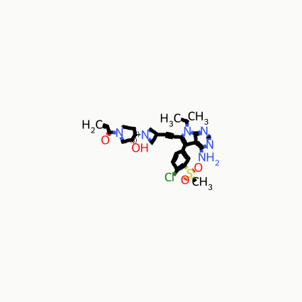 C=CC(=O)N1CC[C@H](N2CC(C#Cc3c(-c4ccc(Cl)c(S(C)(=O)=O)c4)c4c(N)ncnc4n3C(C)C)C2)[C@H](O)C1